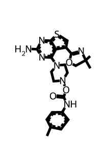 Cc1ccc(NC(=O)ON2CCN(c3nc(N)nc4scc(C5=NC(C)(C)CO5)c34)CC2)cc1